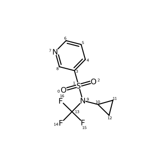 O=S(=O)(c1cccnc1)N(C1CC1)C(F)(F)F